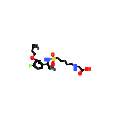 CCCOc1cc([C@H](C)NS(=O)(=O)CCCCCNCC(=O)O)ccc1F